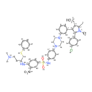 CCn1c(C)c(C(=O)O)c(-c2cccc(N3CCN(c4ccc(NS(=O)(=O)c5ccc(NC(CCN(C)C)CSc6ccccc6)c([N+](=O)[O-])c5)cc4)CC3)c2)c1-c1ccc(Cl)cc1